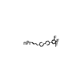 CCC/C=C/CC[C@H]1CC[C@H]([C@H]2CC[C@H](c3cc(F)c(F)c(F)c3)CC2)CC1